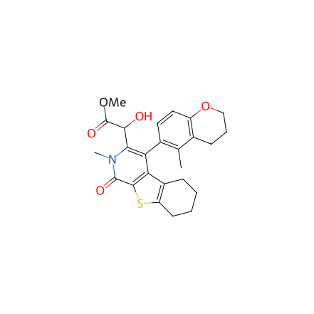 COC(=O)C(O)c1c(-c2ccc3c(c2C)CCCO3)c2c3c(sc2c(=O)n1C)CCCC3